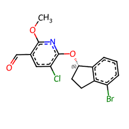 COc1nc(O[C@H]2CCc3c(Br)cccc32)c(Cl)cc1C=O